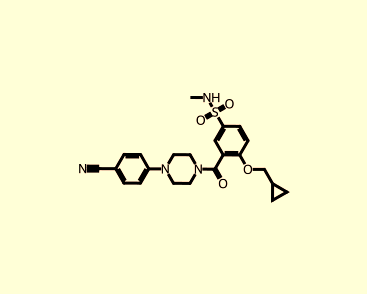 CNS(=O)(=O)c1ccc(OCC2CC2)c(C(=O)N2CCN(c3ccc(C#N)cc3)CC2)c1